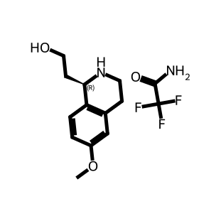 COc1ccc2c(c1)CCN[C@@H]2CCO.NC(=O)C(F)(F)F